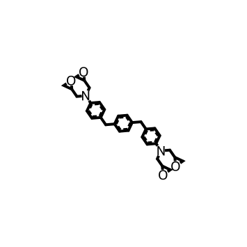 c1cc(Cc2ccc(N(CC3CO3)CC3CO3)cc2)ccc1Cc1ccc(N(CC2CO2)CC2CO2)cc1